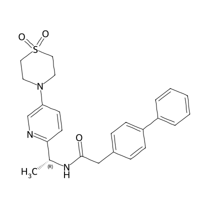 C[C@@H](NC(=O)Cc1ccc(-c2ccccc2)cc1)c1ccc(N2CCS(=O)(=O)CC2)cn1